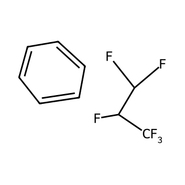 FC(F)C(F)C(F)(F)F.c1ccccc1